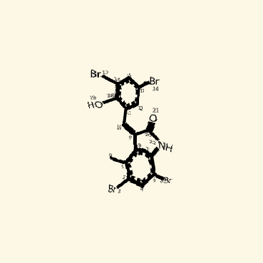 Cc1c(Br)cc(Br)c2c1C(=Cc1cc(Br)cc(Br)c1O)C(=O)N2